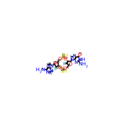 Nc1nc2c(ncn2C2OC3COP(S)OC4C(COP(S)OC2C3F)OC(n2cnc3c(N)ncnc32)C4F)c(=O)[nH]1